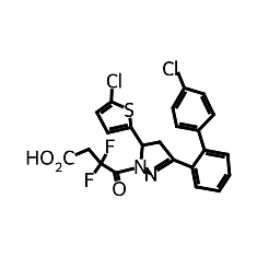 O=C(O)CC(F)(F)C(=O)N1N=C(c2ccccc2-c2ccc(Cl)cc2)CC1c1ccc(Cl)s1